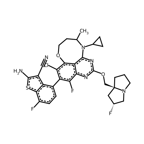 CC1CCOc2c(Cl)c(-c3ccc(F)c4sc(N)c(C#N)c34)c(F)c3nc(OC[C@@]45CCCN4C[C@H](F)C5)nc(c23)N1C1CC1